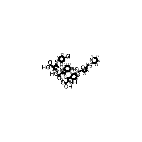 Cc1c(C(=O)O)[nH]c2ccccc12.O=C(O)c1cc2ccccc2[nH]1.O=C(O)c1ccc(CSc2ccccn2)o1.O=C(O)c1cscc1Sc1ccc(Cl)cc1